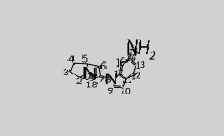 CN1C2CCC1CC(n1ccc3ccc(N)cc31)C2